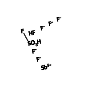 F.O=S(=O)(O)F.[F-].[F-].[F-].[F-].[F-].[Sb+5]